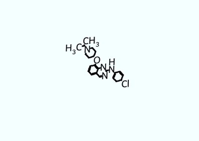 CC(C)N1CCC(Oc2cccc3cnc(NC4=CCC(Cl)C=C4)nc23)CC1